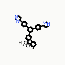 CC1(C)c2ccccc2-c2cc(-c3cc(-c4ccc(-c5ccncn5)cc4)cc(-c4ccc(-c5ccncn5)cc4)c3)ccc21